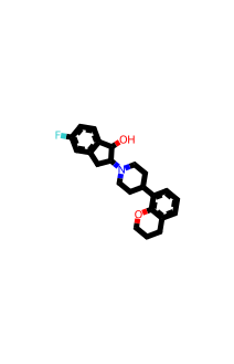 OC1c2ccc(F)cc2CC1N1CCC(c2cccc3c2OCCC3)CC1